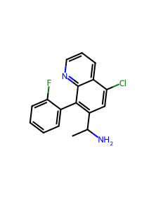 CC(N)c1cc(Cl)c2cccnc2c1-c1ccccc1F